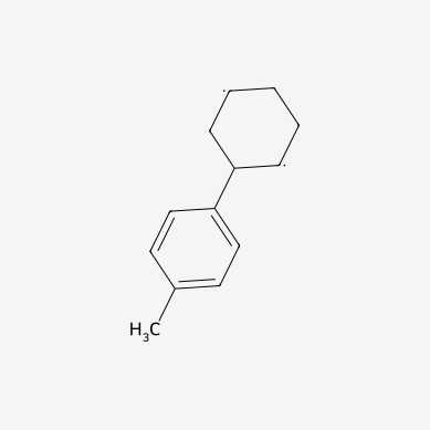 Cc1ccc(C2[CH]CC[CH]C2)cc1